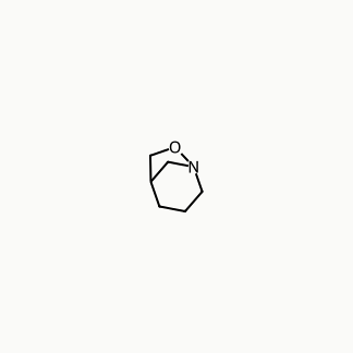 C1CC2CON(C1)C2